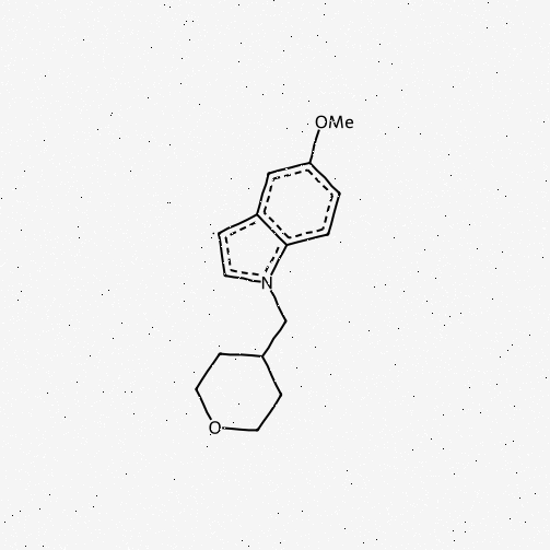 COc1ccc2c([c]cn2CC2CCOCC2)c1